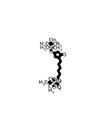 CC(C)(C)[Si](C)(C)OC1C=C(CCCCCCOC(=O)[Si](C)(C)C(C)(C)C)C(=O)C1